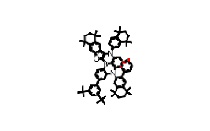 Cc1cc2c3c(c1)N(c1ccc4c(c1)C(C)(C)CCC4(C)C)c1c(oc4cc5c(cc14)C(C)(C)CCC5(C)C)B3c1ccc(-c3cc(C(C)(C)C)cc(C(C)(C)C)c3)cc1N2c1cc2c(cc1-c1ccccc1)C(C)(C)CCC2(C)C